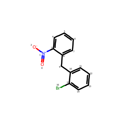 O=[N+]([O-])c1ccccc1Cc1ccccc1Br